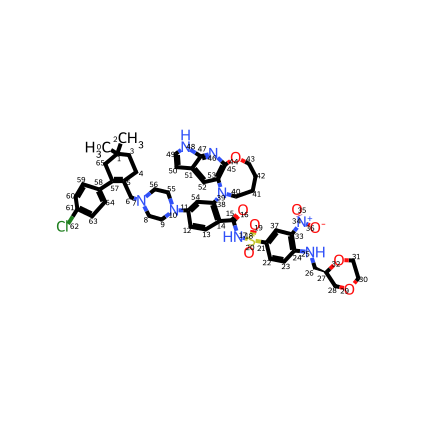 CC1(C)CCC(CN2CCN(c3ccc(C(=O)NS(=O)(=O)c4ccc(NC[C@@H]5COCCO5)c([N+](=O)[O-])c4)c(N4CCCCOc5nc6[nH]ccc6cc54)c3)CC2)=C(c2ccc(Cl)cc2)C1